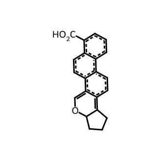 O=C(O)c1cccc2c1ccc1c3c(ccc12)=C1CCCC1OC=3